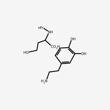 CCCNC(CCO)C(=O)O.NCCc1ccc(O)c(O)c1